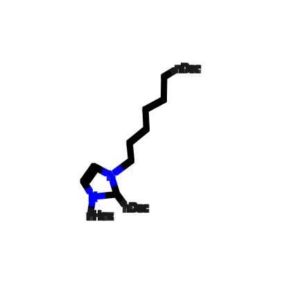 CCCCCCCCCCCCCCCCN1C=CN(CCCCCC)C1CCCCCCCCCC